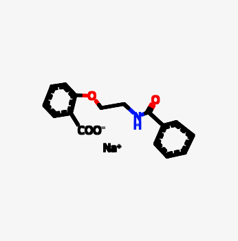 O=C(NCCOc1ccccc1C(=O)[O-])c1ccccc1.[Na+]